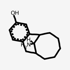 N[C@H]1C2CCCCCC1c1cc(O)ccc1C2